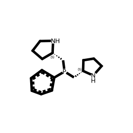 c1ccc(P(C[C@@H]2CCCN2)C[C@@H]2CCCN2)cc1